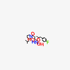 CC(C)C[C@@H]1CCCN(C(=O)[C@H](CCCc2ccc(F)cc2)[C@H](O)C(=O)NO)C1